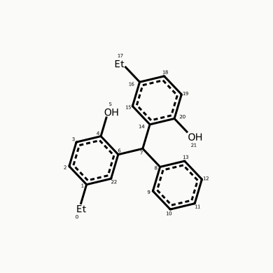 CCc1ccc(O)c(C(c2ccccc2)c2cc(CC)ccc2O)c1